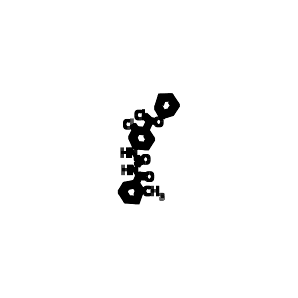 Cc1ccccc1C(=O)NC(=O)Nc1ccc(C(Cl)Oc2ccccc2)c(Cl)c1